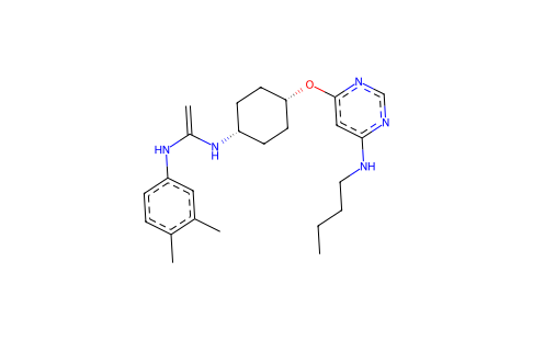 C=C(Nc1ccc(C)c(C)c1)N[C@H]1CC[C@@H](Oc2cc(NCCCC)ncn2)CC1